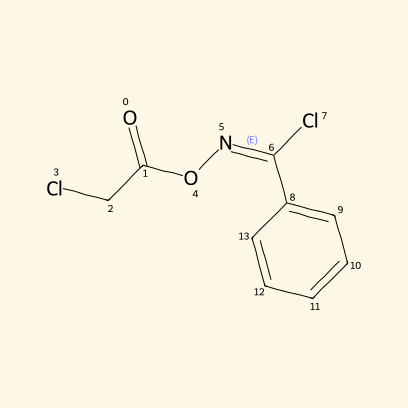 O=C(CCl)O/N=C(/Cl)c1ccccc1